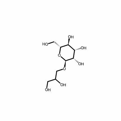 OCC(O)CO[C@H]1O[C@H](CO)[C@@H](O)[C@H](O)[C@@H]1O